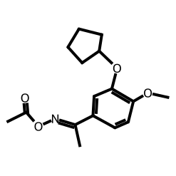 COc1ccc(/C(C)=N/OC(C)=O)cc1OC1CCCC1